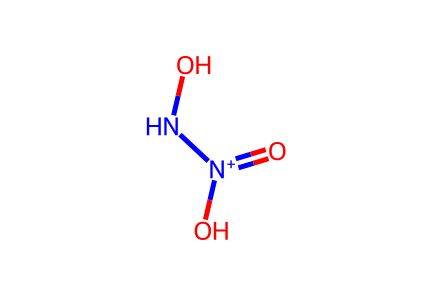 O=[N+](O)NO